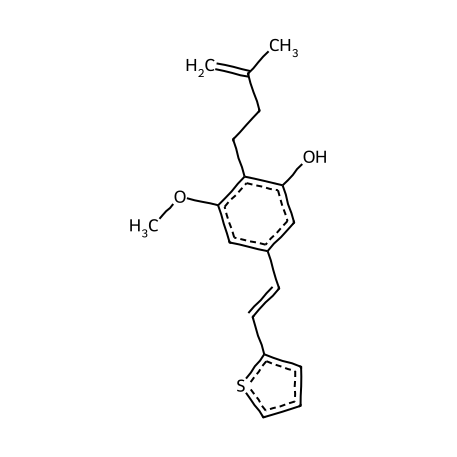 C=C(C)CCc1c(O)cc(C=Cc2cccs2)cc1OC